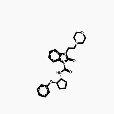 O=C(N[C@@H]1CCC[C@H]1Sc1ccccc1)n1c(=O)n(CCN2CCOCC2)c2ccccc21